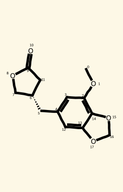 COc1cc(C[C@@H]2COC(=O)C2)cc2c1OCO2